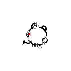 O=C1CN2CCN(CC2)Cc2cccc(c2)Nc2cc(ccn2)-c2cnc(nc2)CN(CC2CC2)CCN1